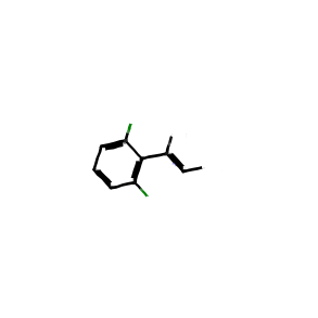 C/C=C(/c1c(F)cccc1Cl)C(F)(F)F